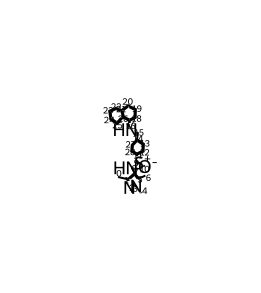 Cc1nn(C)c(C)c1N[S+]([O-])c1ccc(CNc2cccc3ccccc23)cc1